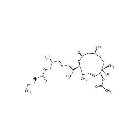 CCCNC(=O)OC[C@@H](C)/C=C/C=C(\C)[C@H]1OC(=O)C[C@@H](O)CC[C@](C)(O)[C@@H](OC(C)=O)/C=C/[C@@H]1C